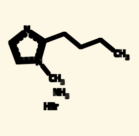 Br.CCCCc1nccn1C.N